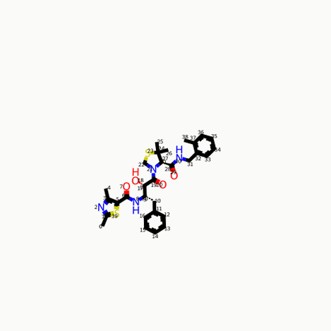 Cc1nc(C)c(C(=O)N[C@@H](Cc2ccccc2)[C@H](O)C(=O)N2CSC(C)(C)[C@H]2C(=O)NCc2ccccc2C)s1